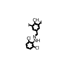 Cc1c(I)cc(/C=N/Nc2c(Cl)cccc2Cl)cc1I